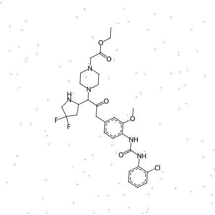 CCOC(=O)CN1CCN(C(C(=O)Cc2ccc(NC(=O)Nc3ccccc3Cl)c(OC)c2)C2CC(F)(F)CN2)CC1